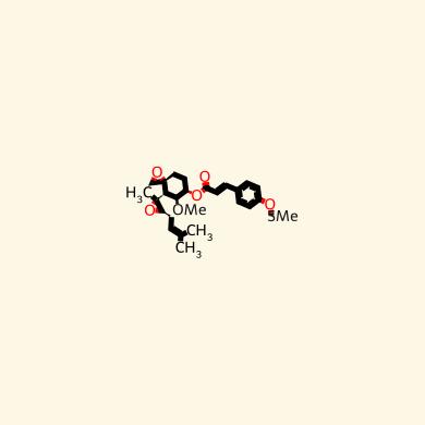 CO[C@H]1[C@H](C2(C)O[C@H]2CC=C(C)C)[C@]2(CC[C@H]1OC(=O)/C=C/c1ccc(OSC)cc1)CO2